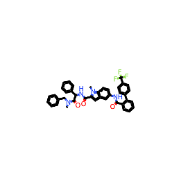 CN(Cc1ccccc1)C(=O)C(NC(=O)c1cc2cc(NC(=O)c3ccccc3-c3ccc(C(F)(F)F)cc3)ccc2n1C)c1ccccc1